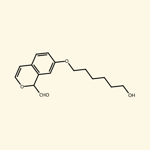 O=CC1OC=Cc2ccc(OCCCCCCO)cc21